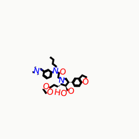 CCCCN(C(=O)CN1C[C@H](c2ccc3c(c2)CCO3)[C@@H](C(=O)O)[C@@H]1CCC1OCCO1)c1cccc(C[N+](C)(C)C)c1